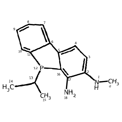 CNc1ccc2c3ccccc3p(C(C)C)c2c1N